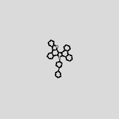 c1ccc(-c2ccc(-n3c4c5ccccc5c5ccccc5c4c4c5oc6ccccc6c5c5ccccc5c43)cc2)cc1